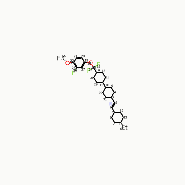 CCC1CCC(/C=C/C2CCC(C3CCC(C(F)(F)Oc4ccc(OC(F)(F)F)c(F)c4)CC3)CC2)CC1